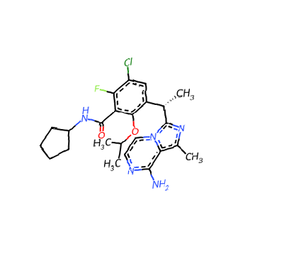 Cc1nc([C@@H](C)c2cc(Cl)c(F)c(C(=O)NC3CCCC3)c2OC(C)C)n2ccnc(N)c12